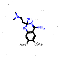 COc1cc2c(cc1OC)C(N)=NC(N)(CCN(C)C)N2